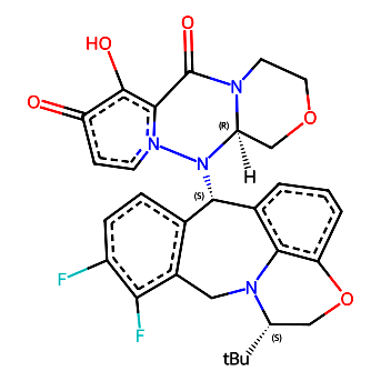 CC(C)(C)[C@H]1COc2cccc3c2N1Cc1c(ccc(F)c1F)[C@@H]3N1[C@@H]2COCCN2C(=O)c2c(O)c(=O)ccn21